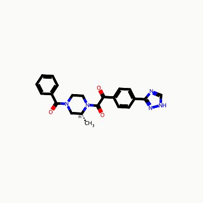 C[C@@H]1CN(C(=O)c2ccccc2)CCN1C(=O)C(=O)c1ccc(-c2nc[nH]n2)cc1